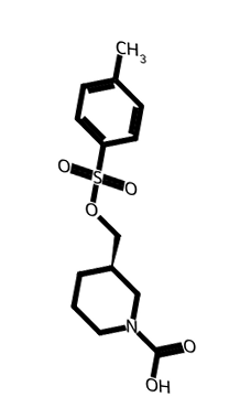 Cc1ccc(S(=O)(=O)OC[C@@H]2CCCN(C(=O)O)C2)cc1